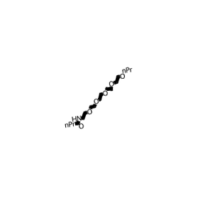 CCCOCCOCCOCCOCCOCCNC(=O)CCC